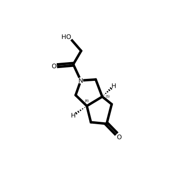 O=C1C[C@@H]2CN(C(=O)CO)C[C@@H]2C1